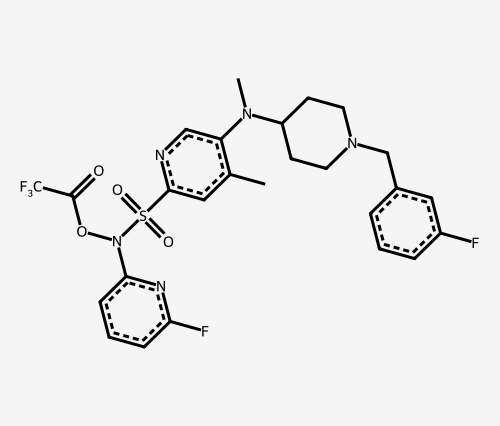 Cc1cc(S(=O)(=O)N(OC(=O)C(F)(F)F)c2cccc(F)n2)ncc1N(C)C1CCN(Cc2cccc(F)c2)CC1